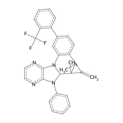 C=C1C2(C)c3ccc(-c4ccccc4C(F)(F)F)cc3N3c4nccnc4N(c4ccccc4)C3C12C